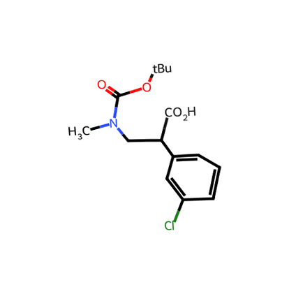 CN(CC(C(=O)O)c1cccc(Cl)c1)C(=O)OC(C)(C)C